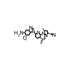 COc1cc2c(cc1N)ncn2-c1ccc(C(F)F)c(-n2nc(C#N)cc2C)n1